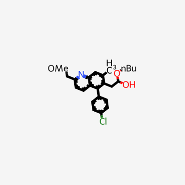 CCCCOC(O)Cc1c(C)cc2nc(COC)ccc2c1-c1ccc(Cl)cc1